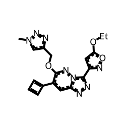 CCOc1cc(-c2nnc3cc(C4=CC=C4)c(OCc4cn(C)nn4)nn23)no1